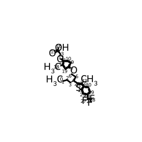 CCCC[C@@H](CCOc1ccc(OCC(=O)O)c(C)c1)c1sc2cc(C(F)(F)F)ccc2c1C